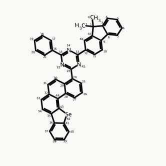 CC1(C)c2ccccc2-c2ccc(-c3nc(-c4ccccc4)nc(-c4cccc5c4ccc4ccc6c7ccccc7[se]c6c45)n3)cc21